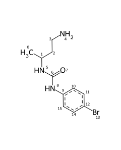 CC(CCN)NC(=O)Nc1ccc(Br)cc1